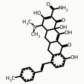 Cc1ccc(/C=C/c2ccc(O)c3c2CC2CC4C(N(C)C)C(O)=C(C(N)=O)C(=O)C4(O)C(O)=C2C3=O)cc1